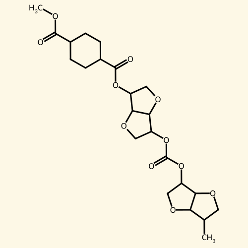 COC(=O)C1CCC(C(=O)OC2COC3C(OC(=O)OC4COC5C(C)COC45)COC23)CC1